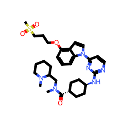 CN(CC1CCCCN1C)C(=O)[C@H]1CC[C@H](Nc2nccc(-n3ccc4c(OCCCS(C)(=O)=O)cccc43)n2)CC1